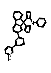 C1=CC(c2cccc(-c3ccc4c(c3)C3(c5ccccc5-4)c4ccccc4N(c4ccccc4)c4ccccc43)c2)=CNC1